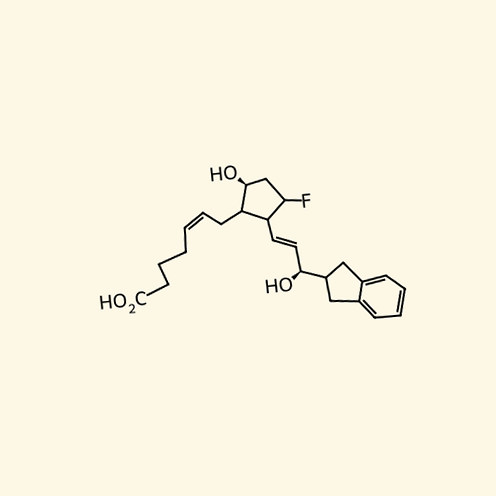 O=C(O)CCC/C=C\CC1C(/C=C/[C@H](O)C2Cc3ccccc3C2)C(F)C[C@@H]1O